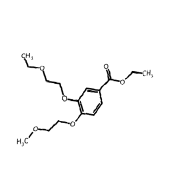 CCOCCOc1cc(C(=O)OCC)ccc1OCCOC